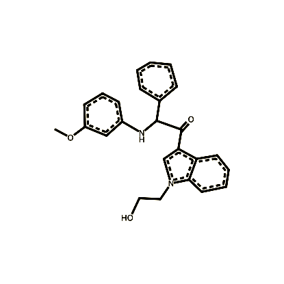 COc1cccc(NC(C(=O)c2cn(CCO)c3ccccc23)c2ccccc2)c1